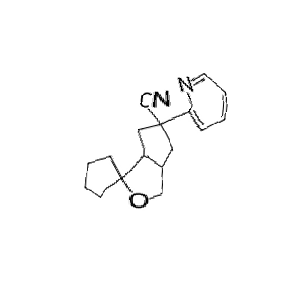 N#CC1(c2ccccn2)CC2COC3(CCCC3)C2C1